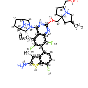 C=C1CN2[C@H](CO)CC[C@@]2(COc2nc(N3CC4CC[C@H](C3)N4)c3c(OC)c(F)c(-c4ccc(F)c5sc(N)c(C#N)c45)c(F)c3n2)C1